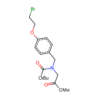 COC(=O)CN(Cc1ccc(OCCBr)cc1)C(=O)OCC(C)C